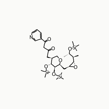 C[C@@H]([C@@H]1O[C@H]1C[C@@H]1OC[C@H](CC(=O)CC(=O)c2cccnc2)[C@@H](O[Si](C)(C)C)[C@@H]1O[Si](C)(C)C)[C@H](C)O[Si](C)(C)C